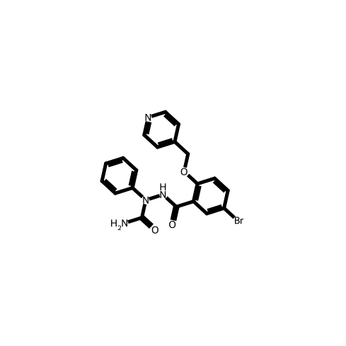 NC(=O)N(NC(=O)c1cc(Br)ccc1OCc1ccncc1)c1ccccc1